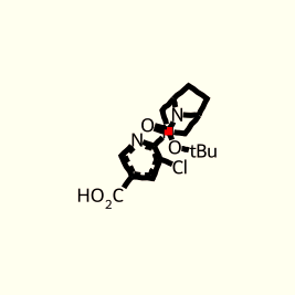 CC(C)(C)OC(=O)N1C2CCC1CN(c1ncc(C(=O)O)cc1Cl)C2